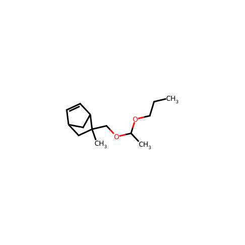 CCCOC(C)OCC1(C)CC2C=CC1C2